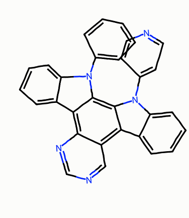 c1ccc(-n2c3ccccc3c3c4ncncc4c4c5ccccc5n(-c5ccncc5)c4c32)cc1